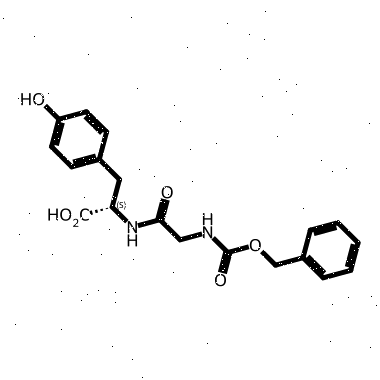 O=C(CNC(=O)OCc1ccccc1)N[C@@H](Cc1ccc(O)cc1)C(=O)O